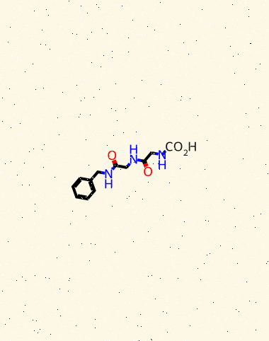 O=C(O)NCC(=O)NCC(=O)NCc1ccccc1